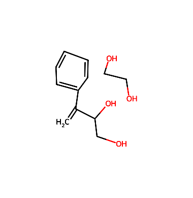 C=C(c1ccccc1)C(O)CO.OCCO